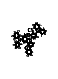 N#Cc1c(-n2c3ccccc3c3ccccc32)ccc(-n2c3ccc(N(c4ccccc4)c4ccccc4)cc3c3c4oc5ccccc5c4ccc32)c1C#N